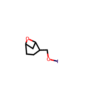 IOCC1CCC2CC1O2